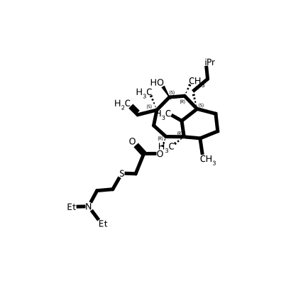 C=C[C@]1(C)C[C@@H](OC(=O)CSCCN(CC)CC)[C@]2(C)C(C)CC[C@@](CCC(C)C)(C2C)[C@@H](C)[C@@H]1O